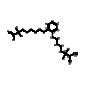 CC(=O)C(C)(C)CCCCCCc1ccccc1CCCCCC(C)(C)C(=O)O